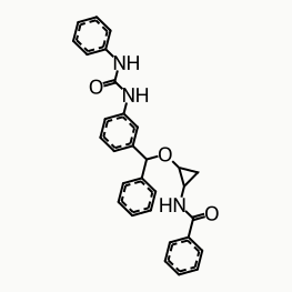 O=C(Nc1ccccc1)Nc1cccc(C(OC2CC2NC(=O)c2ccccc2)c2ccccc2)c1